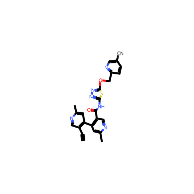 C#Cc1cnc(C)cc1-c1cc(C)ncc1C(=O)Nc1nnc(OCc2ccc(C#N)cn2)s1